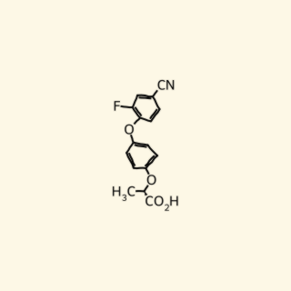 C[C@@H](Oc1ccc(Oc2ccc(C#N)cc2F)cc1)C(=O)O